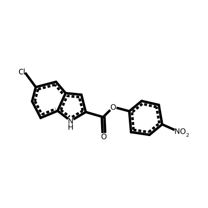 O=C(Oc1ccc([N+](=O)[O-])cc1)c1cc2cc(Cl)ccc2[nH]1